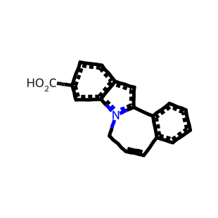 O=C(O)c1ccc2cc3n(c2c1)CC=Cc1ccccc1-3